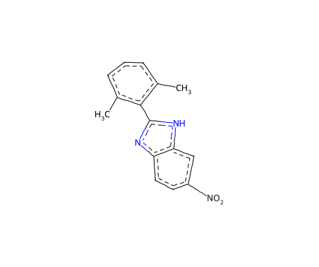 Cc1cccc(C)c1-c1nc2ccc([N+](=O)[O-])cc2[nH]1